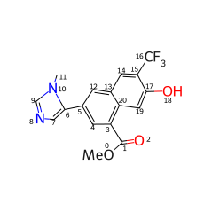 COC(=O)c1cc(-c2cncn2C)cc2cc(C(F)(F)F)c(O)cc12